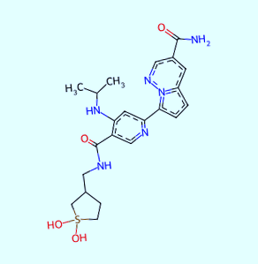 CC(C)Nc1cc(-c2ccc3cc(C(N)=O)cnn23)ncc1C(=O)NCC1CCS(O)(O)C1